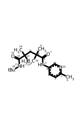 Cc1ccc(NC(=O)C(C)(C)CC(C)(C)C(=O)NC(C)(C)C)cn1